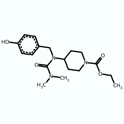 CCOC(=O)N1CCC(N(Cc2ccc(O)cc2)C(=O)N(C)C)CC1